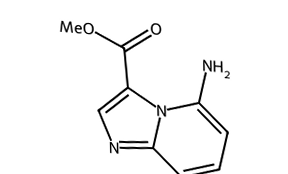 COC(=O)c1cnc2cccc(N)n12